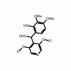 COc1ccc(C(C=O)c2c(OCl)cncc2OCl)c(O)c1OC